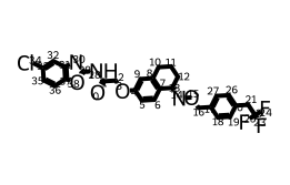 O=C(COc1ccc2c(c1)CCCC2=NOCc1ccc(CC(F)(F)F)cc1)Nc1nc2cc(Cl)ccc2o1